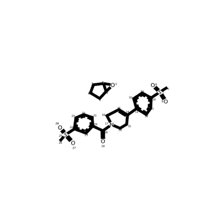 C1CC2OC2C1.CS(=O)(=O)c1ccc(C2=CCN(C(=O)c3cccc(S(C)(=O)=O)c3)CC2)cc1